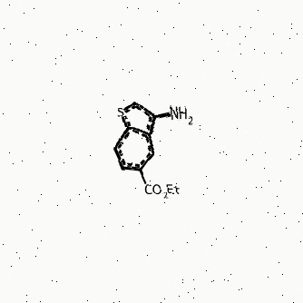 CCOC(=O)c1ccc2scc(N)c2c1